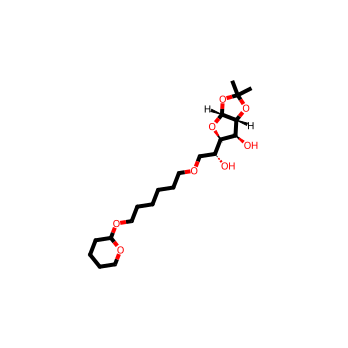 CC1(C)O[C@H]2O[C@H]([C@H](O)COCCCCCCOC3CCCCO3)[C@H](O)[C@H]2O1